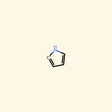 [C+]1=CC=CN1